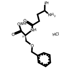 COC(=O)[C@H](COCc1ccccc1)NC(=O)CCC(N)C(C)C.Cl